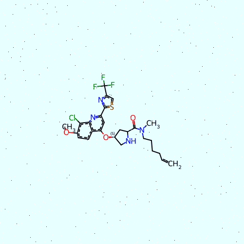 C=CCCCCN(C)C(=O)C1C[C@H](Oc2cc(-c3nc(C(F)(F)F)cs3)nc3c(Cl)c(OC)ccc23)CN1